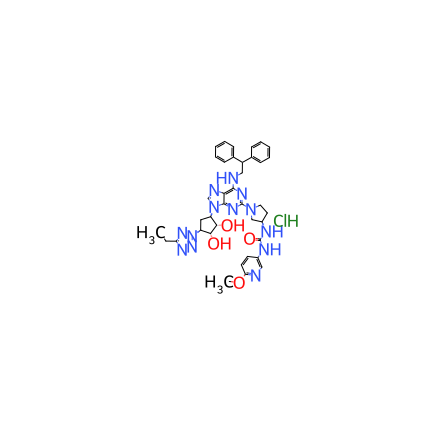 CCc1nnn([C@H]2C[C@@H](n3cnc4c(NCC(c5ccccc5)c5ccccc5)nc(N5CC[C@@H](NC(=O)Nc6ccc(OC)nc6)C5)nc43)[C@H](O)[C@@H]2O)n1.Cl